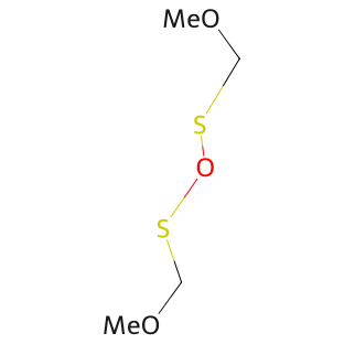 COCSOSCOC